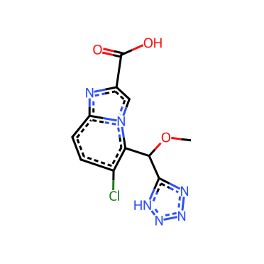 COC(c1nnn[nH]1)c1c(Cl)ccc2nc(C(=O)O)cn12